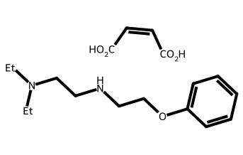 CCN(CC)CCNCCOc1ccccc1.O=C(O)/C=C\C(=O)O